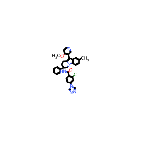 COc1ccncc1-c1c2n(c3ccc(C)cc13)C[C@@](NC(=O)c1ccc(-n3cnnc3)cc1Cl)(c1ccccc1)CC2